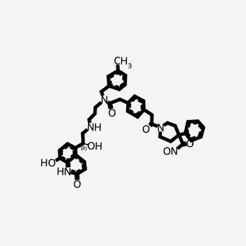 Cc1cccc(CN(CCCNC[C@H](O)c2ccc(O)c3[nH]c(=O)ccc23)C(=O)Cc2ccc(CC(=O)N3CCC(C(=O)N=O)(c4ccccc4)CC3)cc2)c1